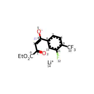 CCOC(=O)C(=O)/C=C(/[O-])c1ccc(C(F)(F)F)c(F)c1.[Li+]